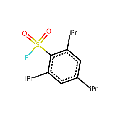 CC(C)c1cc(C(C)C)c(S(=O)(=O)F)c(C(C)C)c1